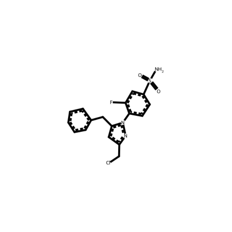 NS(=O)(=O)c1ccc(-n2nc(CCl)cc2Cc2ccccc2)c(F)c1